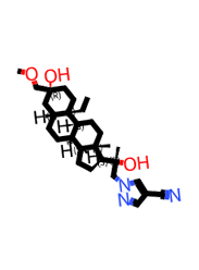 CC[C@]12CC[C@](O)(COC)C[C@H]1CC[C@H]1[C@@H]3CC[C@H]([C@](C)(O)Cn4cc(C#N)cn4)[C@@]3(C)CC[C@@H]12